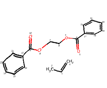 C=CC.O=C(OCCOC(=O)c1ccccc1)c1ccccc1